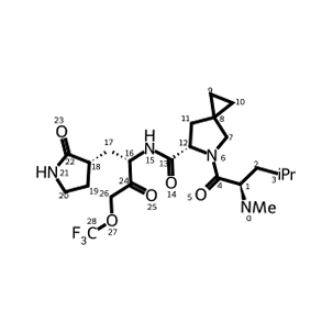 CN[C@H](CC(C)C)C(=O)N1CC2(CC2)C[C@H]1C(=O)N[C@@H](C[C@@H]1CCNC1=O)C(=O)COC(F)(F)F